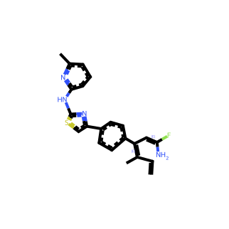 C=C/C(C)=C(\C=C(/N)F)c1ccc(-c2csc(Nc3cccc(C)n3)n2)cc1